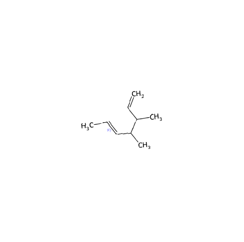 C=CC(C)C(C)/C=C/C